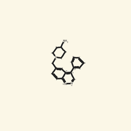 NC1CCN(Cc2ccc3nncc(-c4ccccc4)c3c2)CC1